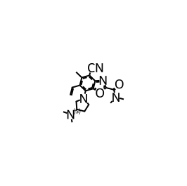 C=Cc1c(C)c(C#N)c2nc(C(=O)N(C)C)oc2c1N1CC[C@H](N(C)C)C1